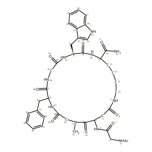 CC(=O)NCC(=O)NC1CC(=O)NCCCCC(C(N)=O)NC(=O)[C@H](Cc2c[nH]c3ccccc23)NC(=O)CNC(=O)C(Cc2ccccc2)NC(=O)CN(C)C1=O